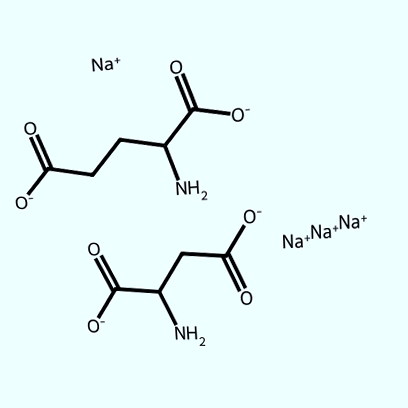 NC(CC(=O)[O-])C(=O)[O-].NC(CCC(=O)[O-])C(=O)[O-].[Na+].[Na+].[Na+].[Na+]